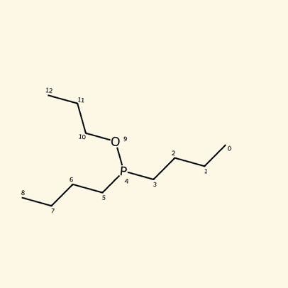 CCCCP(CCCC)OCCC